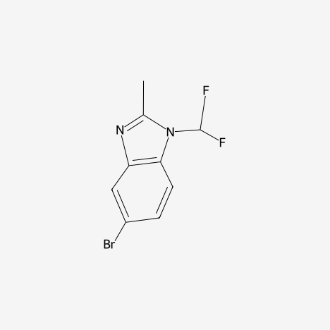 Cc1nc2cc(Br)ccc2n1C(F)F